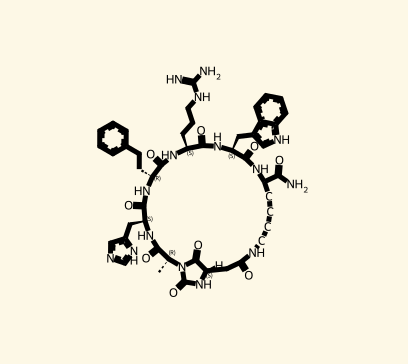 C[C@@H]1C(=O)N[C@@H](Cc2cnc[nH]2)C(=O)N[C@H](CCc2ccccc2)C(=O)N[C@@H](CCCNC(=N)N)C(=O)N[C@@H](Cc2c[nH]c3ccccc23)C(=O)NC(C(N)=O)CCCCNC(=O)C[C@@H]2NC(=O)N1C2=O